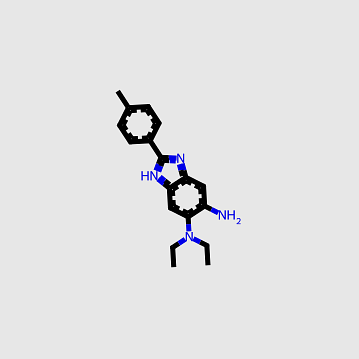 CCN(CC)c1cc2[nH]c(-c3ccc(C)cc3)nc2cc1N